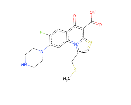 CSCc1csc2c(C(=O)O)c(=O)c3cc(F)c(N4CCNCC4)cc3n12